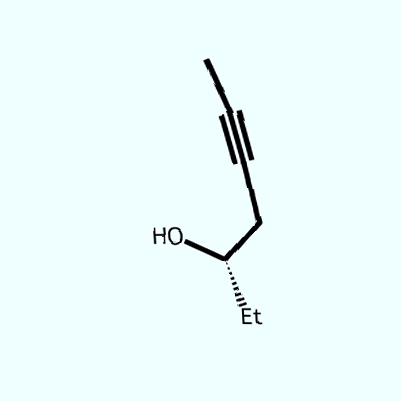 CC#CC[C@@H](O)CC